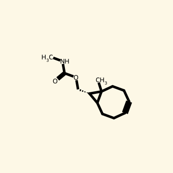 CNC(=O)OC[C@H]1C2CCC#CCCC21C